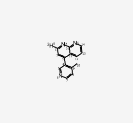 [2H]c1cc(-c2cnccc2C)c2cccnc2n1